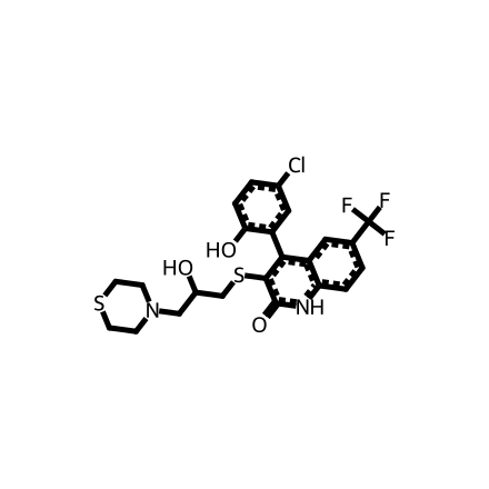 O=c1[nH]c2ccc(C(F)(F)F)cc2c(-c2cc(Cl)ccc2O)c1SCC(O)CN1CCSCC1